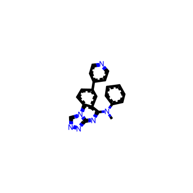 CN(c1ccccc1)c1nc2nncn2c2ccc(-c3ccncc3)cc12